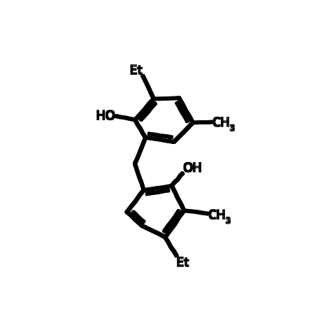 CCc1ccc(Cc2cc(C)cc(CC)c2O)c(O)c1C